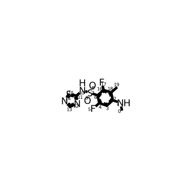 CNc1cc(F)c(S(=O)(=O)Nc2ncns2)c(F)c1C